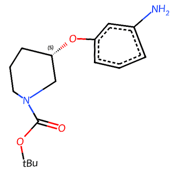 CC(C)(C)OC(=O)N1CCC[C@H](Oc2cccc(N)c2)C1